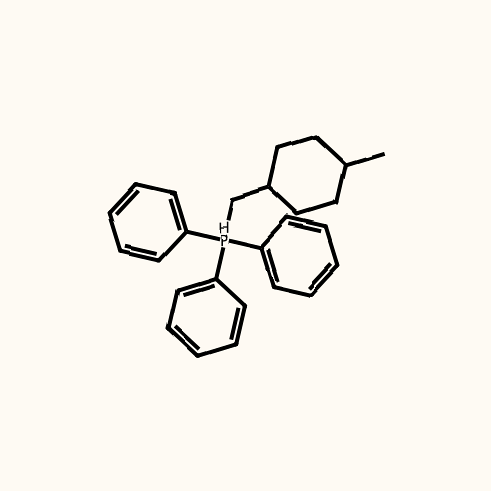 CC1CCC(C[PH](c2ccccc2)(c2ccccc2)c2ccccc2)CC1